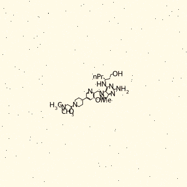 CCC[C@@H](CCO)Nc1nc(N)nc2cnn(Cc3ncc(C4CCN(C(=O)CN(C)C)CC4)cc3OC)c12